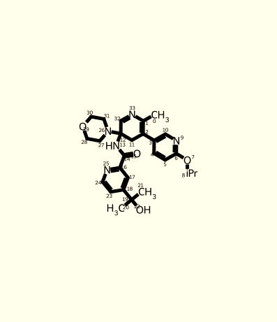 CC1=C(c2ccc(OC(C)C)nc2)CC(NC(=O)c2cc(C(C)(C)O)ccn2)(N2CCOCC2)C=N1